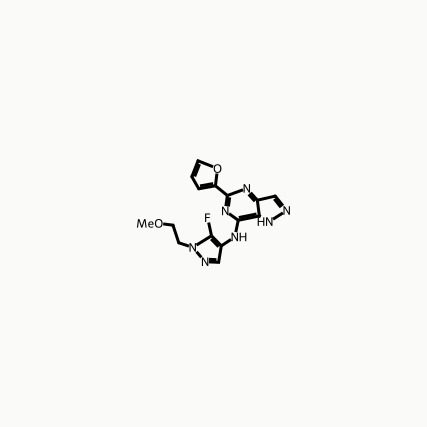 COCCn1ncc(Nc2nc(-c3ccco3)nc3cn[nH]c23)c1F